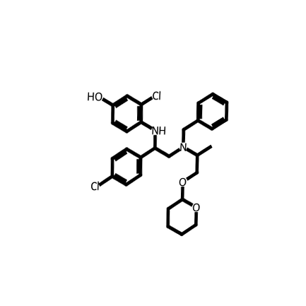 CC(COC1CCCCO1)N(Cc1ccccc1)CC(Nc1ccc(O)cc1Cl)c1ccc(Cl)cc1